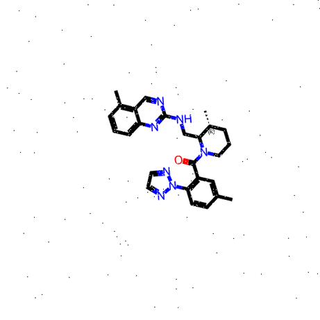 Cc1ccc(-n2nccn2)c(C(=O)N2CCC[C@@H](C)C2CNc2ncc3c(C)cccc3n2)c1